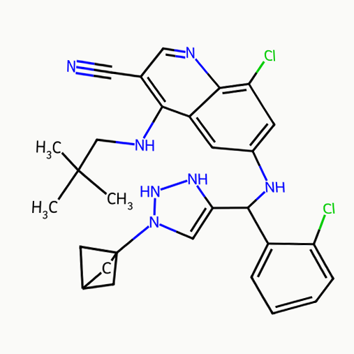 CC(C)(C)CNc1c(C#N)cnc2c(Cl)cc(NC(C3=CN(C45CC(C4)C5)NN3)c3ccccc3Cl)cc12